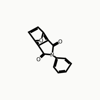 O=C1c2c(c3ccc2o3)C(=O)N1c1ccccc1